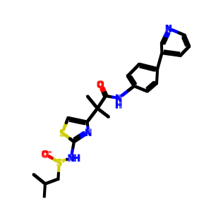 CC(C)C[S+]([O-])Nc1nc(C(C)(C)C(=O)Nc2ccc(-c3cccnc3)cc2)cs1